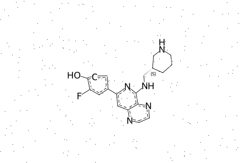 Oc1ccc(-c2cc3nccnc3c(NC[C@H]3CCCNC3)n2)cc1F